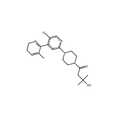 CC1=CCCN=C1c1cc(N2CCN(C(=O)CC(C)(C)O)CC2)ncc1Cl